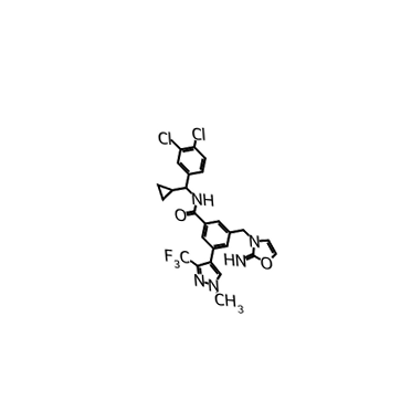 Cn1cc(-c2cc(Cn3ccoc3=N)cc(C(=O)NC(c3ccc(Cl)c(Cl)c3)C3CC3)c2)c(C(F)(F)F)n1